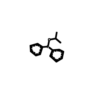 CC(C)OP(c1ccccc1)c1ccccc1